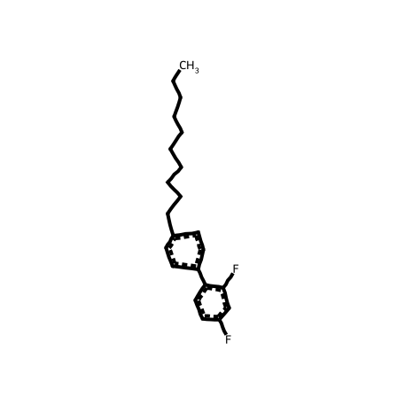 CCCCCCCCCCc1ccc(-c2ccc(F)cc2F)cc1